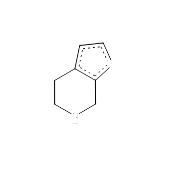 [CH]1NCCc2ccsc21